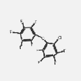 Fc1c(F)c(F)c(Oc2c(F)c(F)c(F)c(F)c2Cl)c(F)c1F